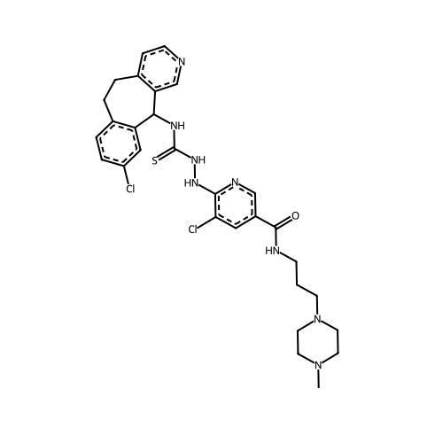 CN1CCN(CCCNC(=O)c2cnc(NNC(=S)NC3c4cnccc4CCc4ccc(Cl)cc43)c(Cl)c2)CC1